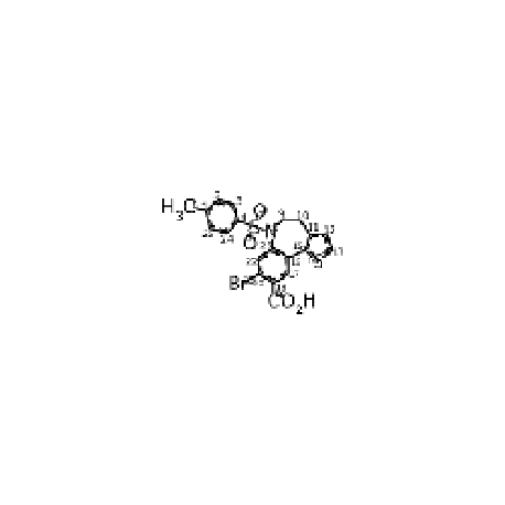 Cc1ccc(S(=O)(=O)N2CCc3ccsc3-c3cc(C(=O)O)c(Br)cc32)cc1